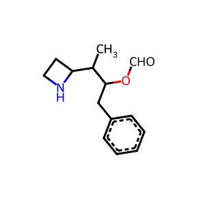 CC(C1CCN1)C(Cc1ccccc1)OC=O